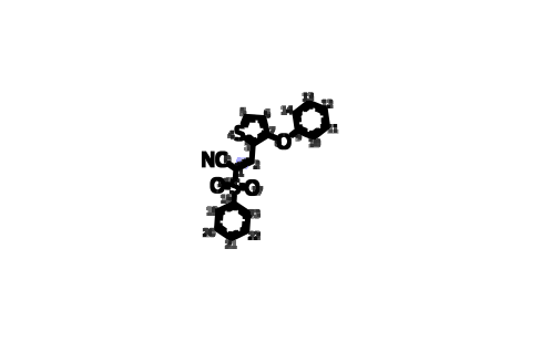 N#C/C(=C\c1sccc1Oc1ccccc1)S(=O)(=O)c1ccccc1